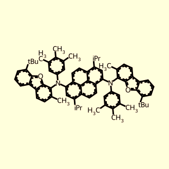 Cc1cc(N(c2cc(C(C)C)c3ccc4c(N(c5cc(C)c(C)c(C)c5)c5c(C)ccc6c5oc5c(C(C)(C)C)cccc56)cc(C(C)C)c5ccc2c3c54)c2c(C)ccc3c2oc2c(C(C)(C)C)cccc23)cc(C)c1C